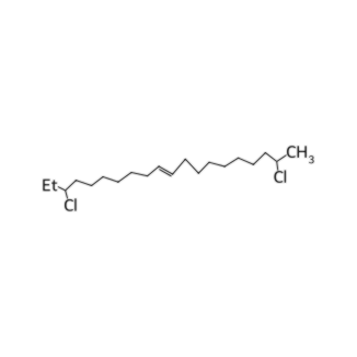 CCC(Cl)CCCCCC/C=C/CCCCCCCC(C)Cl